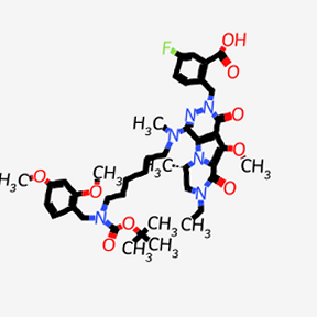 CCN1C[C@H](C)n2c(c(OC)c3c(=O)n(Cc4ccc(F)cc4C(=O)O)nc(N(C)CCCCCCN(Cc4ccc(OC)cc4OC)C(=O)OC(C)(C)C)c32)C1=O